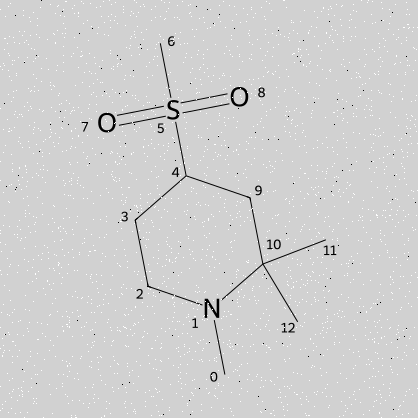 CN1CCC(S(C)(=O)=O)CC1(C)C